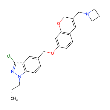 CCCn1nc(Cl)c2cc(COc3ccc4c(c3)OCC(CN3CCC3)=C4)ccc21